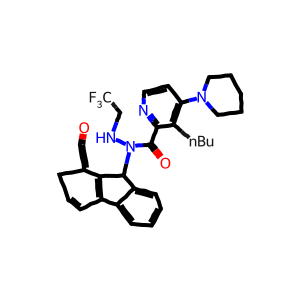 CCCCc1c(N2CCCCC2)ccnc1C(=O)N(NCC(F)(F)F)C1C2=C(C=CCC2=C=O)c2ccccc21